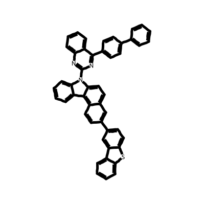 c1ccc(-c2ccc(-c3nc(-n4c5ccccc5c5c6ccc(-c7ccc8sc9ccccc9c8c7)cc6ccc54)nc4ccccc34)cc2)cc1